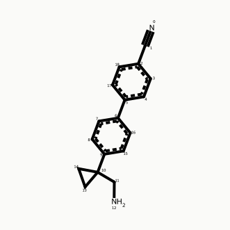 N#Cc1ccc(-c2ccc(C3(CN)CC3)cc2)cc1